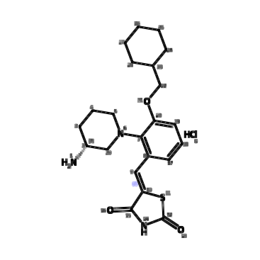 Cl.N[C@@H]1CCCN(c2c(/C=C3\SC(=O)NC3=O)cccc2OCC2CCCCC2)C1